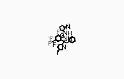 CN(C)[C@@H]1CCC[C@H]1NC(=O)N[C@@](Cc1ccccc1)(c1cc(F)cc(C(F)(F)F)c1)c1ccc(I)cn1